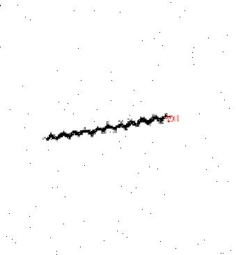 CCCCCCCCC[CH]CCCCCCCCCCCCO